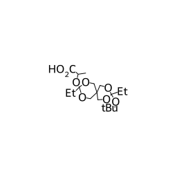 CCC1(OC(C)C(=O)O)OCC2(CO1)COC(CC)(OC(C)(C)C)OC2